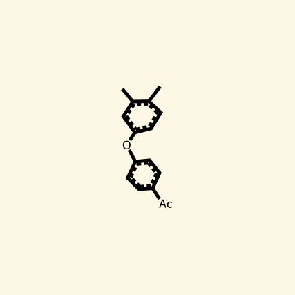 CC(=O)c1ccc(Oc2ccc(C)c(C)c2)cc1